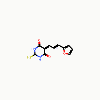 O=C1NC(S)NC(=O)C1=C/C=C/c1ccco1